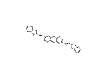 C(=C\c1cc2ccccc2s1)/c1ccc2cc3cc(/C=C/c4cc5ccccc5s4)ccc3cc2c1